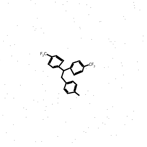 Cc1ccc(C[C](c2ccc(C(F)(F)F)cc2)c2ccc(C(F)(F)F)cc2)cc1